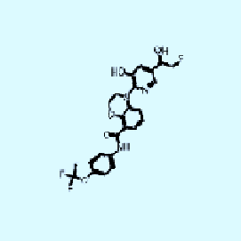 O=C(Nc1ccc(OC(F)(F)F)cc1)c1cccc2c1OCCN2c1ncc(C(O)CF)cc1O